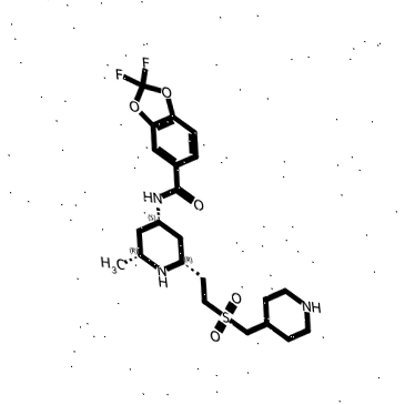 C[C@@H]1C[C@H](NC(=O)c2ccc3c(c2)OC(F)(F)O3)C[C@H](CCS(=O)(=O)CC2CCNCC2)N1